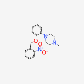 CN1CCN(c2ccccc2OCc2ccccc2[N+](=O)[O-])CC1